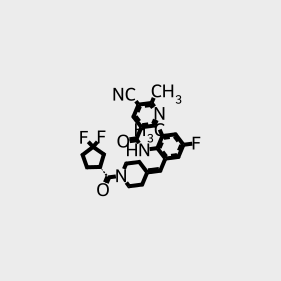 Cc1cc(F)cc(C=C2CCN(C(=O)[C@@H]3CCC(F)(F)C3)CC2)c1NC(=O)c1cnc(C)c(C#N)c1